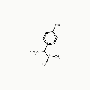 CCOC(=O)C(c1ccc(C(C)(C)C)cc1)[C@@H](C)C(F)(F)F